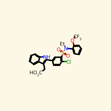 CCN(c1ccccc1OC(F)(F)F)S(=O)(=O)c1cc(-c2[nH]c3ccccc3c2CC(=O)O)ccc1Cl